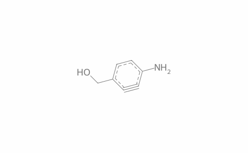 Nc1c#cc(CO)cc1